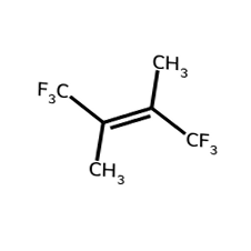 CC(=C(C)C(F)(F)F)C(F)(F)F